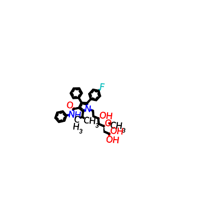 CO[C@@H](CC(O)O)C[C@H](O)CCn1c(-c2ccc(F)cc2)c(-c2ccccc2)c(C(=O)Nc2ccccc2)c1C(C)C